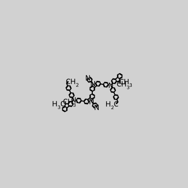 C=Cc1ccc(-c2ccc(N(c3ccc(-c4ccc5c(c4)c4cc(-c6ccc7c(c6)c6cc(-c8ccc(N(c9ccc(-c%10ccc(C=C)cc%10)cc9)c9ccc%10c(c9)C(C)(C)c9ccccc9-%10)cc8)ccc6n7-c6ccncc6)ccc4n5-c4ccncc4)cc3)c3ccc4c(c3)C(C)(C)c3ccccc3-4)cc2)cc1